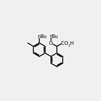 CCCCc1cc(-c2ccccc2C(OC(C)(C)C)C(=O)O)ccc1C